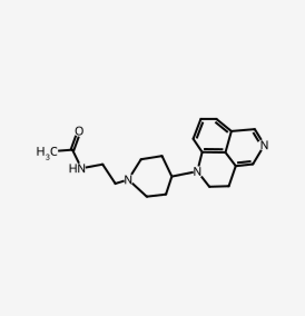 CC(=O)NCCN1CCC(N2CCc3cncc4cccc2c34)CC1